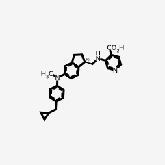 CN(c1ccc(CC2CC2)cc1)c1ccc2c(c1)CC[C@H]2CNc1cnccc1C(=O)O